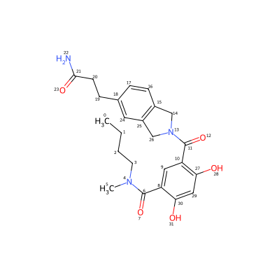 CCCCN(C)C(=O)c1cc(C(=O)N2Cc3ccc(CCC(N)=O)cc3C2)c(O)cc1O